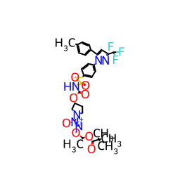 Cc1ccc(-c2cc(C(F)(F)F)nn2-c2ccc(S(=O)(=O)NC(=O)OC3CCN(/[N+]([O-])=N/OC(C)OC(=O)C(C)(C)C)C3)cc2)cc1